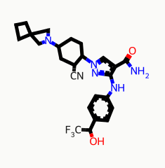 N#CC1CC(N2CC3(CCC3)C2)CCC1n1cc(C(N)=O)c(Nc2ccc(C(O)C(F)(F)F)cc2)n1